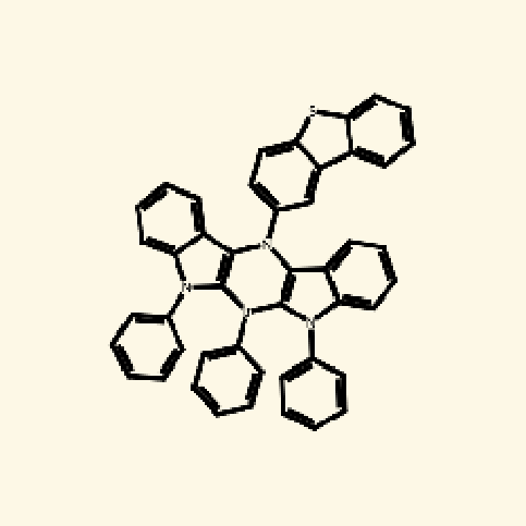 c1ccc(B2c3c(c4ccccc4n3-c3ccccc3)N(c3ccc4sc5ccccc5c4c3)c3c2n(-c2ccccc2)c2ccccc32)cc1